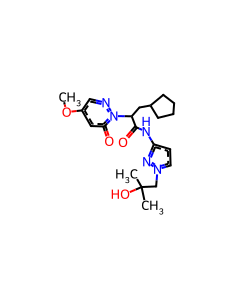 COc1cnn(C(CC2CCCC2)C(=O)Nc2ccn(CC(C)(C)O)n2)c(=O)c1